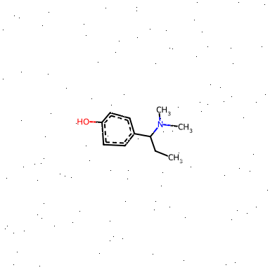 CCC(c1ccc(O)cc1)N(C)C